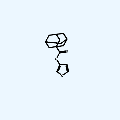 O=C(Oc1ccoc1)C12CC3CC(CC(C3)C1)C2